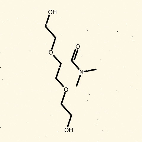 CN(C)C=O.OCCOCCOCCO